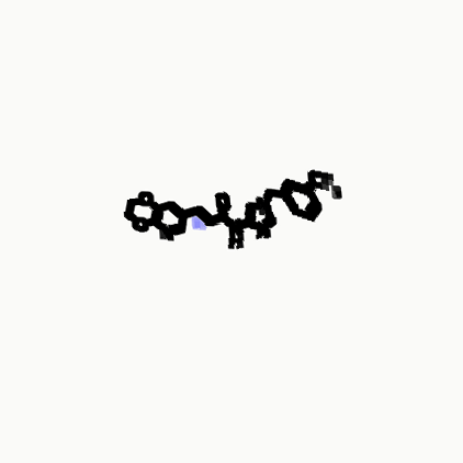 O=C(/C=C/c1cnc2c(c1)OCCO2)Nc1cn(Cc2cccc(C(F)(F)F)c2)cn1